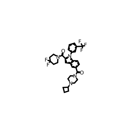 O=C(c1ccc2c(c1)cc(C(=O)N1CCC(F)(F)CC1)n2-c1cccc(C(F)(F)F)c1)N1CCN(C2CCC2)CC1